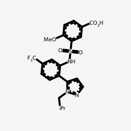 COc1ccc(C(=O)O)cc1S(=O)(=O)Nc1cc(C(F)(F)F)ccc1-c1ccnn1CC(C)C